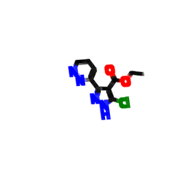 CCOC(=O)c1c(-c2cccnn2)n[nH]c1Cl